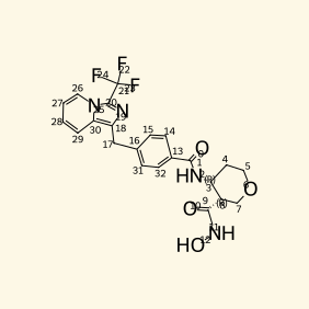 O=C(N[C@@H]1CCOC[C@@H]1C(=O)NO)c1ccc(Cc2nc(C(F)(F)F)n3ccccc23)cc1